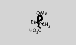 CCc1c(CCC(=O)O)n(C)c2ccc(OC)cc12